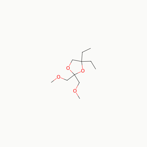 CCC1(CC)COC(COC)(COC)O1